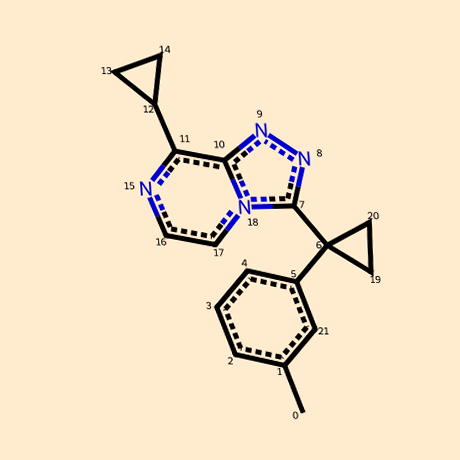 Cc1cccc(C2(c3nnc4c(C5CC5)nccn34)CC2)c1